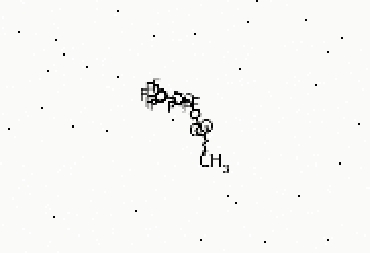 C/C=C/CCC1COC(C2CCC(C(F)(F)Oc3ccc(-c4cc(F)c(C(F)(F)F)c(F)c4)c(F)c3)CC2)OC1